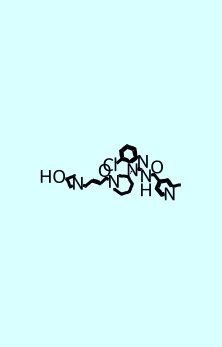 Cc1cc(C(=O)Nc2nc3cccc(Cl)c3n2[C@@H]2CCCCN(C(=O)/C=C/CN3CC(O)C3)C2)ccn1